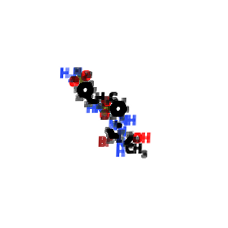 Cc1ccc(Nc2ncc(Br)c(N[C@H](C)CO)n2)cc1S(=O)(=O)NCCc1ccc(S(N)(=O)=O)cc1